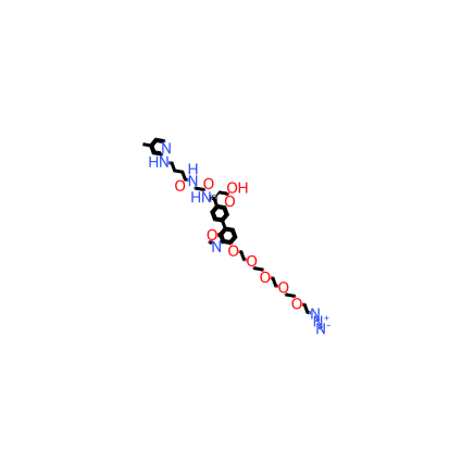 Cc1ccnc(NCCCC(=O)NCC(=O)N[C@@H](CC(=O)O)c2ccc(-c3ccc(OCCOCCOCCOCCOCCN=[N+]=[N-])c4ncoc34)cc2)c1